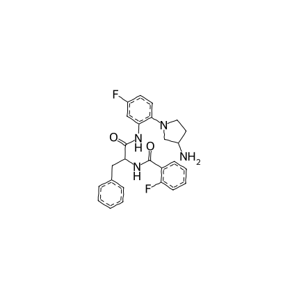 NC1CCN(c2ccc(F)cc2NC(=O)C(Cc2ccccc2)NC(=O)c2ccccc2F)C1